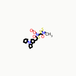 CCN1C(=O)/C(=c2\s/c(=C/c3ccc4c(c3)C3CCCC3N4c3ccccc3)c(=O)n2COC=O)SC1=S